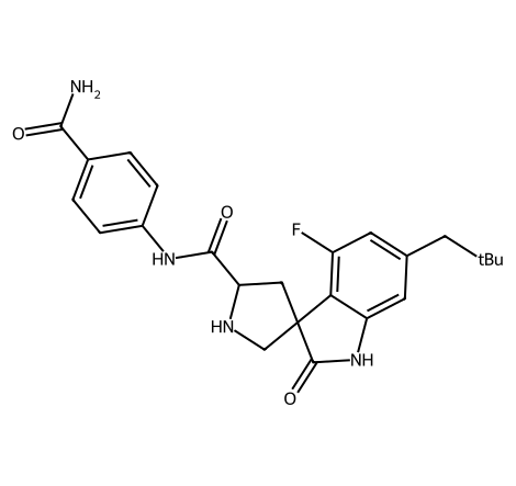 CC(C)(C)Cc1cc(F)c2c(c1)NC(=O)C21CNC(C(=O)Nc2ccc(C(N)=O)cc2)C1